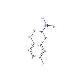 Cc1ccc2c(c1)CC(N(C)C)CC2